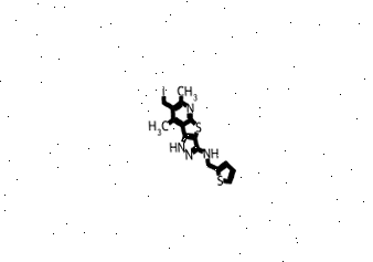 Cc1nc2sc3c(NCc4cccs4)n[nH]c3c2c(C)c1CI